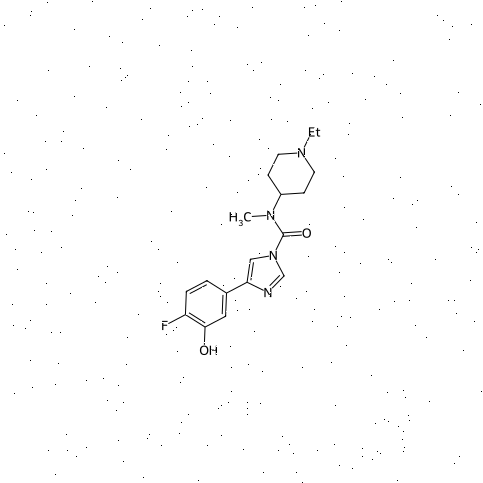 CCN1CCC(N(C)C(=O)n2cnc(-c3ccc(F)c(O)c3)c2)CC1